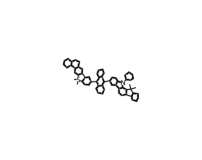 CC1(C)c2ccccc2-c2ccc3c4cc(-c5c6ccccc6c(-c6ccc7c(c6)-c6cc8ccc9ccccc9c8cc6S7(C)C)c6ccccc56)ccc4n(-c4ccccc4)c3c21